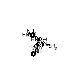 CCCNc1cnc2n(c1=O)[C@@H](C(=O)NCc1ccc(C(=N)N)cc1)C[C@@]2(C)CC(=O)Nc1ccccc1